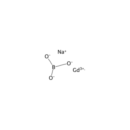 [Gd+3].[Na+].[O-]B([O-])[O-]